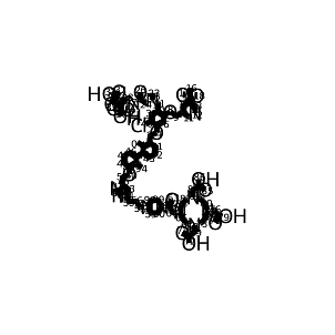 Cc1c(COc2cc(OCc3cncc(S(C)(=O)=O)c3)c(CN(C)CC(=O)NCC(S(=O)(=O)O)S(=O)(=O)O)cc2Cl)cccc1-c1cccc(OCc2cn(CCCN3CCN(C(=O)CN4CCN(CC(=O)O)CCN(CC(=O)O)CCN(CC(=O)O)CC4)CC3)nn2)c1C